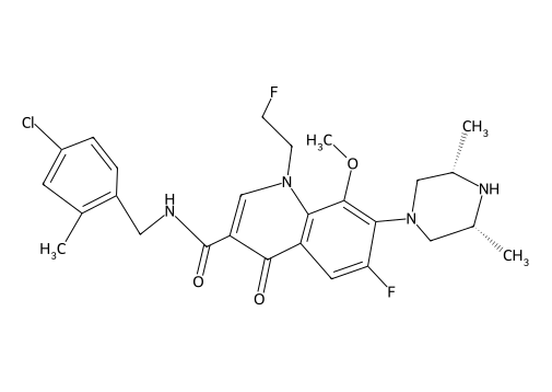 COc1c(N2C[C@@H](C)N[C@@H](C)C2)c(F)cc2c(=O)c(C(=O)NCc3ccc(Cl)cc3C)cn(CCF)c12